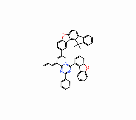 C=C/C=C(\C=C(/C)c1ccc2oc3ccc4c(c3c2c1)C(C)(C)c1ccccc1-4)c1nc(-c2ccccc2)nc(-c2cccc3oc4ccccc4c23)n1